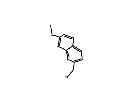 COc1ccc2ccc(CBr)nc2c1